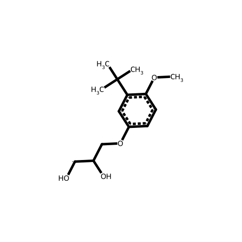 COc1ccc(OCC(O)[CH]O)cc1C(C)(C)C